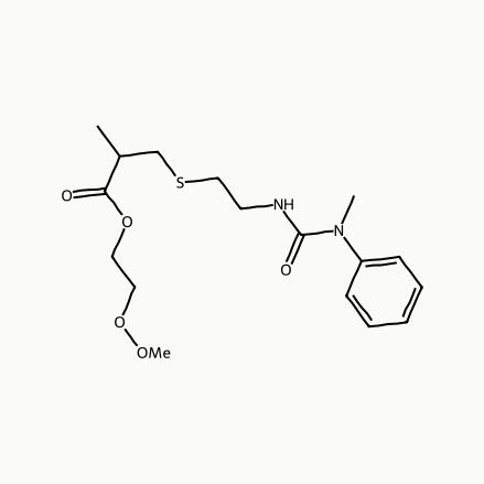 COOCCOC(=O)C(C)CSCCNC(=O)N(C)c1ccccc1